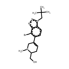 CN1CC(c2ccc3c(nnn3CC(C)(C)C)c2Br)=CCC1CO